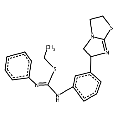 CCSC(=Nc1ccccc1)Nc1cccc(C2CN3CCSC3=N2)c1